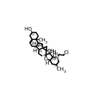 C[C@H]1C[C@H]2O[C@]3(CC[C@H]4[C@@H]5CC=C6C[C@@H](O)CC[C@]6(C)[C@H]5CC45C[C@]53C)[C@H](C)[C@@H]2N(CCCl)C1